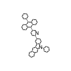 c1ccc(-c2c3ccccc3c(-c3ccc(-c4ccc5c(c4)c4cc6ccccc6cc4n5-c4ccccc4)nc3)c3ccccc23)cc1